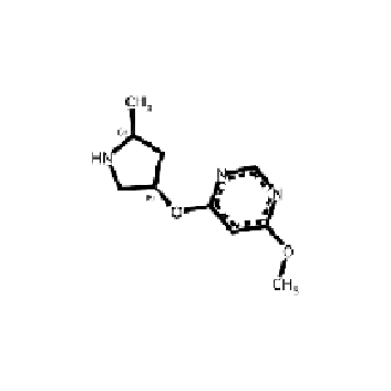 COc1cc(O[C@H]2CN[C@@H](C)C2)ncn1